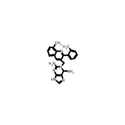 Cc1ccccc1-c1nc2c(C)cccc2cc1CN1C(N)=Nc2[nH]cnc2C1N